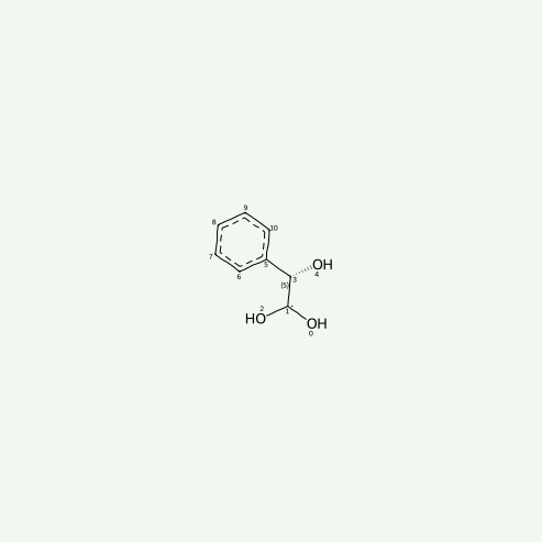 O[C](O)[C@@H](O)c1ccccc1